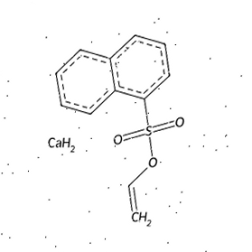 C=COS(=O)(=O)c1cccc2ccccc12.[CaH2]